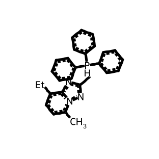 CCc1ccc(C)n2nc(C[PH](c3ccccc3)(c3ccccc3)c3ccccc3)nc12